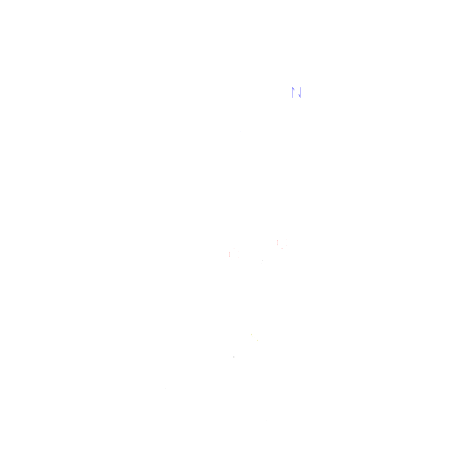 N#C/C(=C\c1ccccc1)c1ccc(OC(=O)CCSC(c2ccccc2)(c2ccccc2)c2ccccc2)cc1